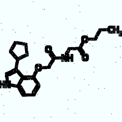 CCCOC(=O)CNC(=O)COc1cccc2[nH]cc(C3CCCC3)c12